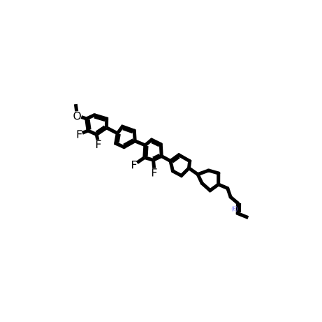 C/C=C/CCC1CCC(C2CC=C(c3ccc(-c4ccc(-c5ccc(OC)c(F)c5F)cc4)c(F)c3F)CC2)CC1